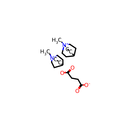 C[N+]12CCC(CC1)CC2.C[N+]12CCC(CC1)CC2.O=C([O-])CCC(=O)[O-]